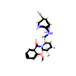 COc1ccccc1C(=O)N1C[C@@H](C)CC[C@H]1CNc1ccc(Br)cn1